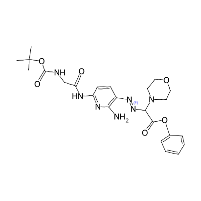 CC(C)(C)OC(=O)NCC(=O)Nc1ccc(/N=N/C(C(=O)Oc2ccccc2)N2CCOCC2)c(N)n1